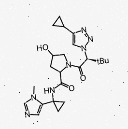 Cn1cncc1C1(NC(=O)C2CC(O)CN2C(=O)[C@@H](n2cc(C3CC3)nn2)C(C)(C)C)CC1